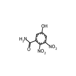 NC(=O)c1cc(O)cc([N+](=O)[O-])c1[N+](=O)[O-]